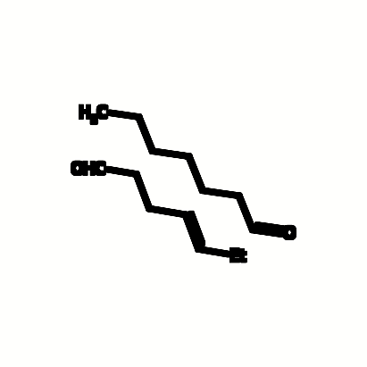 CCC=CCCC=O.CCCCCCC=O